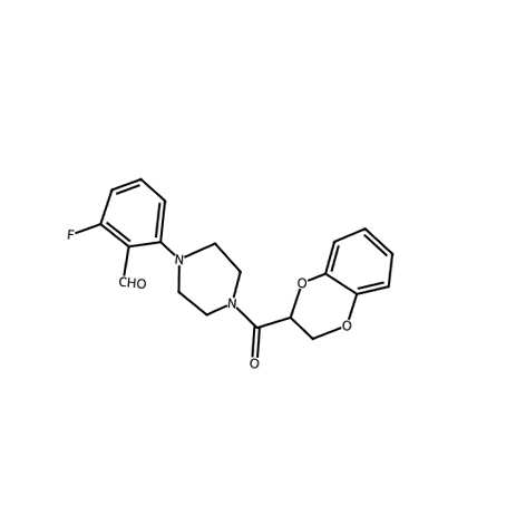 O=Cc1c(F)cccc1N1CCN(C(=O)C2COc3ccccc3O2)CC1